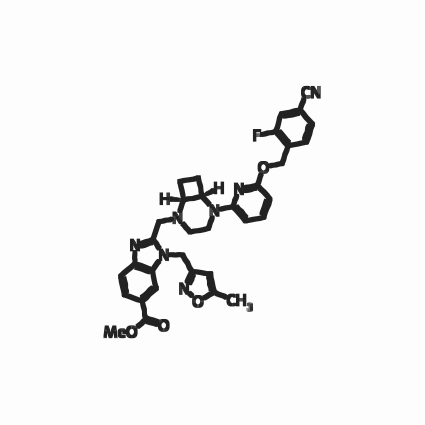 COC(=O)c1ccc2nc(CN3CCN(c4cccc(OCc5ccc(C#N)cc5F)n4)[C@H]4CC[C@H]43)n(Cc3cc(C)on3)c2c1